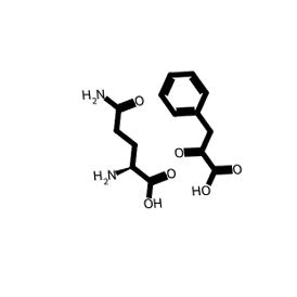 NC(=O)CC[C@H](N)C(=O)O.O=C(O)C(=O)Cc1ccccc1